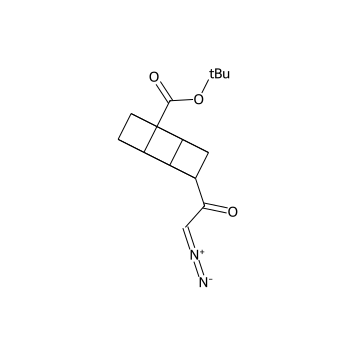 CC(C)(C)OC(=O)C12C3C4C1C1C2C3C41C(=O)C=[N+]=[N-]